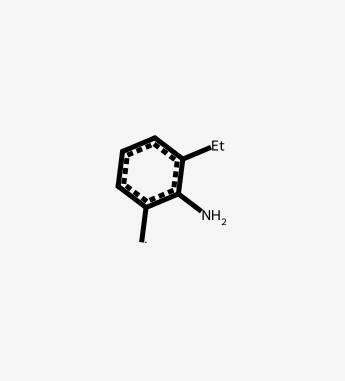 [CH2]c1cccc(CC)c1N